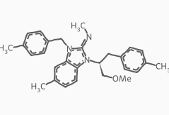 C/N=c1\n(Cc2ccc(C)cc2)c2cc(C)ccc2n1[C@H](COC)Cc1ccc(C)cc1